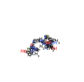 CCc1cccc2cc(O)cc(-c3ncc4c(N5CC6CCC(C5)N6)nc(OCCN5CCC(CC6CN(c7cnc(C(=O)N[C@H](C(=O)N8C[C@H](O)C[C@H]8C(=O)N[C@@H](C)c8ccc(-c9scnc9C)cc8)C(C)(C)C)cn7)C6)CC5)nc4c3F)c12